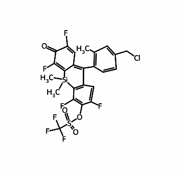 Cc1cc(CCl)ccc1C1=C2C=C(F)C(=O)C(F)=C2[Si](C)(C)c2c1cc(F)c(OS(=O)(=O)C(F)(F)F)c2F